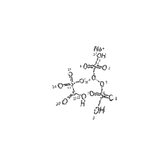 O=S(=O)(O)OOS(=O)(=O)O.O=S(O)S(=O)(=O)[O-].[Na+]